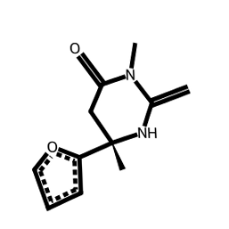 C=C1N[C@](C)(c2ccco2)CC(=O)N1C